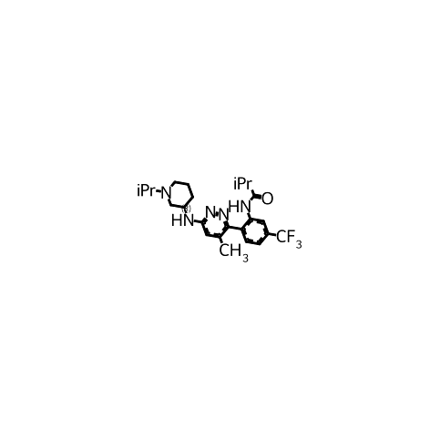 Cc1cc(N[C@@H]2CCCN(C(C)C)C2)nnc1-c1ccc(C(F)(F)F)cc1NC(=O)C(C)C